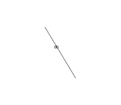 CCCCCCCCCCCCCCCCCCCCCCCCCCCCCCCCCCCCCCCCOC(=O)CCCCCCCCCCCCCCCCCCCCCCCCC